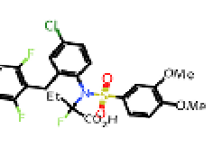 CCC(F)(C(=O)O)N(c1ccc(Cl)cc1Cc1c(F)cccc1F)S(=O)(=O)c1ccc(OC)c(OC)c1